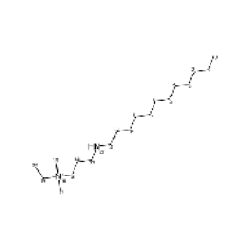 CCCCCCCCCCCCNCCC[N+](C)(C)CC